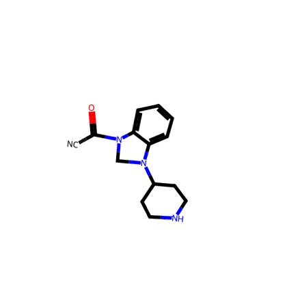 N#CC(=O)N1CN(C2CCNCC2)c2ccccc21